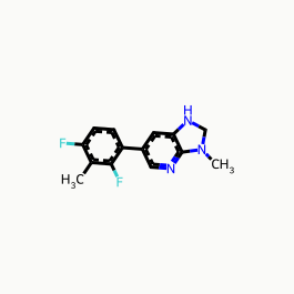 Cc1c(F)ccc(-c2cnc3c(c2)NCN3C)c1F